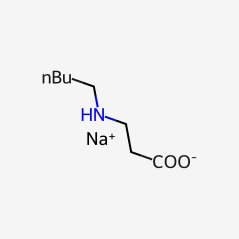 CCCCCNCCC(=O)[O-].[Na+]